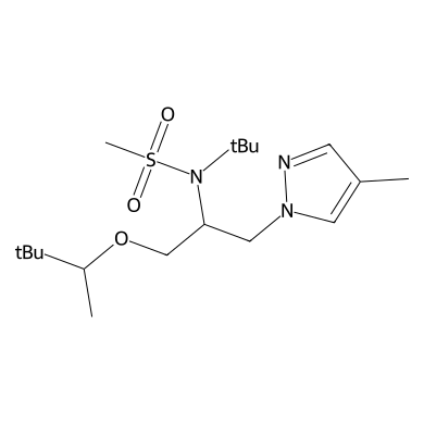 Cc1cnn(CC(COC(C)C(C)(C)C)N(C(C)(C)C)S(C)(=O)=O)c1